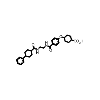 O=C(NCCNC(=O)C1CCC(c2ccccc2)CC1)c1ccc(OC2CCC(C(=O)O)CC2)cc1